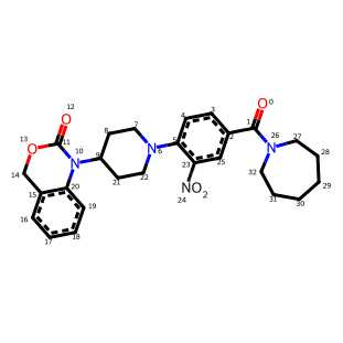 O=C(c1ccc(N2CCC(N3C(=O)OCc4ccccc43)CC2)c([N+](=O)[O-])c1)N1CCCCCC1